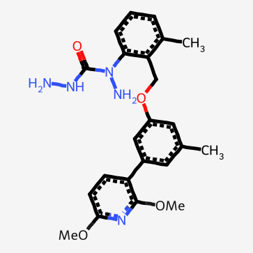 COc1ccc(-c2cc(C)cc(OCc3c(C)cccc3N(N)C(=O)NN)c2)c(OC)n1